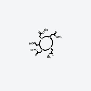 CC(C)(C)OC(=O)CN1CCCN(CC(=O)OC(C)(C)C)CCN(CC(=O)OC(C)(C)C)CC(CCO)CN(CC(=O)OC(C)(C)C)CC1